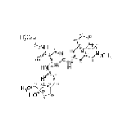 C=CCNC(=O)c1cnc(Nc2cc3c4c(c2)CN(C)C[C@@]4(F)CCC3)nc1Nc1ccc2c(n1)[C@@](O)(CC)CC2